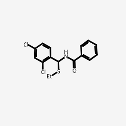 CCSC(NC(=O)c1ccccc1)c1ccc(Cl)cc1Cl